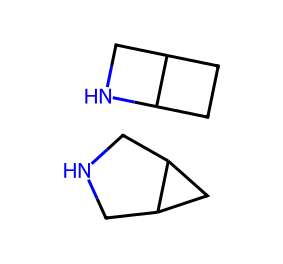 C1CC2NCC12.C1NCC2CC12